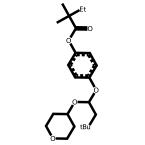 CCC(C)(C)C(=O)Oc1ccc(OC(CC(C)(C)C)OC2CCOCC2)cc1